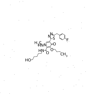 CCCCOc1c(C(=O)NCCCCCO)n(NC)cc(-c2nnc(Cc3ccc(F)cc3)s2)c1=O